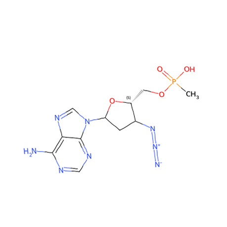 CP(=O)(O)OC[C@H]1OC(n2cnc3c(N)ncnc32)CC1N=[N+]=[N-]